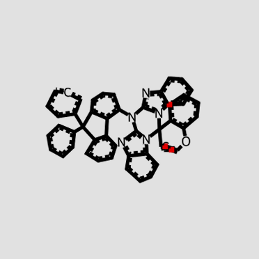 c1ccc(C2(c3ccccc3)c3ccccc3-c3c(N4c5nc6ccccc6n5C5(c6ccccc6Oc6ccccc65)n5c4nc4ccccc45)cccc32)cc1